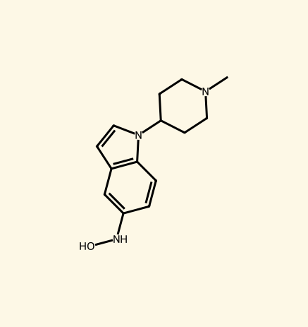 CN1CCC(n2ccc3cc(NO)ccc32)CC1